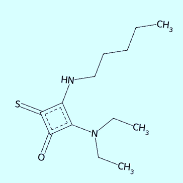 CCCCCNc1c(N(CC)CC)c(=O)c1=S